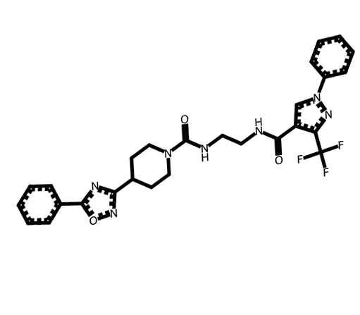 O=C(NCCNC(=O)N1CCC(c2noc(-c3ccccc3)n2)CC1)c1cn(-c2ccccc2)nc1C(F)(F)F